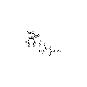 COC(=O)CC(N)CCSc1ccccc1C(=O)OC